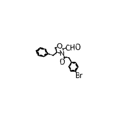 O=CC1OCC(Cc2ccccc2)N1C(=O)Cc1ccc(Br)cc1